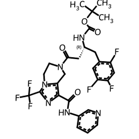 CC(C)(C)OC(=O)N[C@@H](CC(=O)N1CCn2c(C(F)(F)F)nc(C(=O)Nc3cccnc3)c2C1)Cc1cc(F)c(F)cc1F